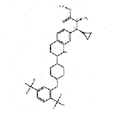 COC(=O)[C@@H](C)[C@H](c1ccc2c(c1)NC(C1CCN(Cc3cc(C(F)(F)F)ccc3C(F)(F)F)CC1)CC2)C1CC1